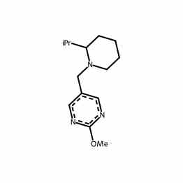 COc1ncc(CN2CCCCC2C(C)C)cn1